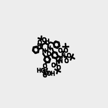 CC(C)(C)OC(=O)N(C(=O)OC(C)(C)C)c1nn(C(=O)OC(C)(C)C)c2ccc(CN3C(=O)N(Cc4cccc(OCP(=O)(O)O)c4)C(c4ccccc4)[C@@H]4OC(C)(C)O[C@H]4[C@H]3Cc3ccccc3)cc12